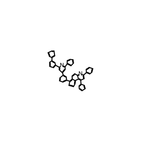 c1ccc(-c2cccc(-c3cc(-c4cccc(-c5cccc6c5ccc5nc(-c7ccccc7)cc(-c7ccccc7)c56)c4)cc(-c4ccccc4)n3)c2)cc1